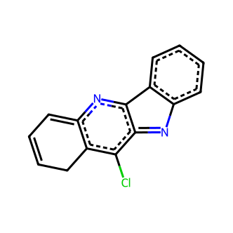 Clc1c2c(nc3c1=Nc1ccccc1-3)=CC=CC2